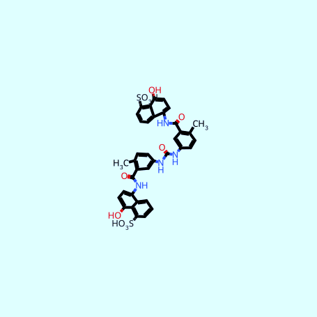 Cc1ccc(NC(=O)Nc2ccc(C)c(C(=O)Nc3ccc(O)c4c(S(=O)(=O)O)cccc34)c2)cc1C(=O)Nc1ccc(O)c2c(S(=O)(=O)O)cccc12